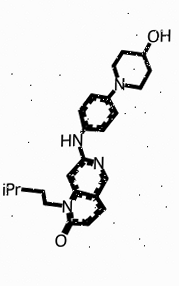 CC(C)CCn1c(=O)ccc2cnc(Nc3ccc(N4CCC(O)CC4)cc3)cc21